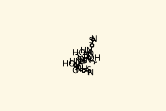 Cc1ncsc1-c1ccc(CNC(=O)[C@H]2C[C@H](O)CN2C(=O)[C@@H](CSSC[C@H](NC(O)CCC(C)C)C(=O)N2C[C@H](O)C[C@H]2C(=O)NCc2ccc(-c3scnc3C)cc2)NC(=O)CCC(C)C)cc1